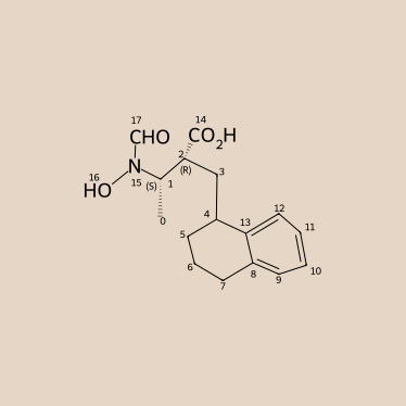 C[C@@H]([C@@H](CC1CCCc2ccccc21)C(=O)O)N(O)C=O